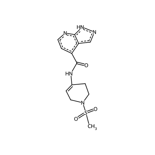 CS(=O)(=O)N1CC=C(NC(=O)c2ccnc3[nH]ncc23)CC1